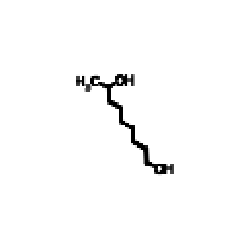 CC(O)CCCCCCCO